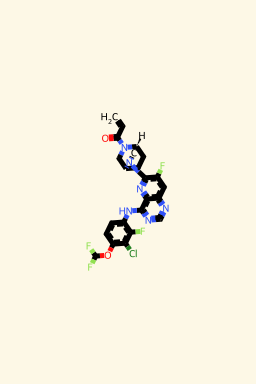 C=CC(=O)N1CC2CC[C@H]1CN2c1nc2c(Nc3ccc(OC(F)F)c(Cl)c3F)ncnc2cc1F